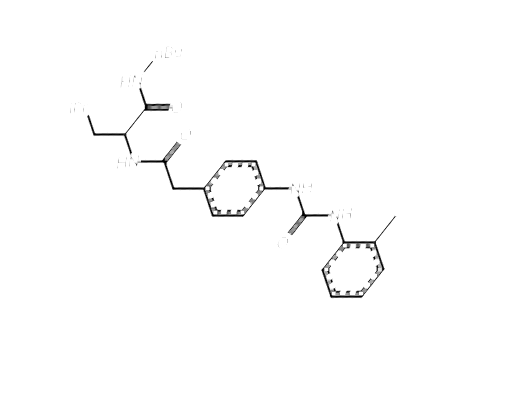 CCCCNC(=O)C(CC(C)C)NC(=O)Cc1ccc(NC(=O)Nc2ccccc2C)cc1